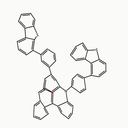 c1cc(-c2cccc(N(c3ccc(-c4cccc5sc6ccccc6c45)cc3)c3ccccc3-c3cccc4ccccc34)c2)cc(-c2cccc3c2sc2ccccc23)c1